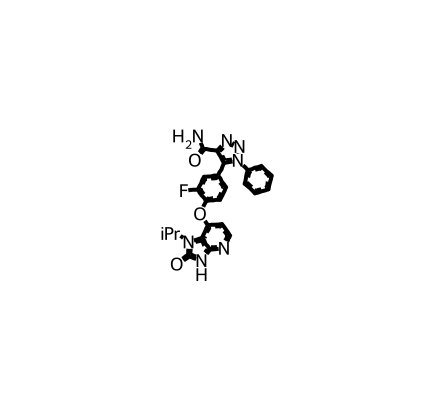 CC(C)n1c(=O)[nH]c2nccc(Oc3ccc(-c4c(C(N)=O)nnn4-c4ccccc4)cc3F)c21